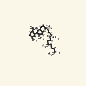 Cc1c(C)c(-c2cc(N)ccc2C(=O)O)c(C)c2c1O[C@](C)(CCC[C@H](C)CCC[C@H](C)CCCC(C)C)CC2